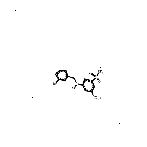 O=C(O)c1cc([S+]([O-])Cc2cccc(Br)c2)cc(S(=O)(=O)C(F)(F)F)c1